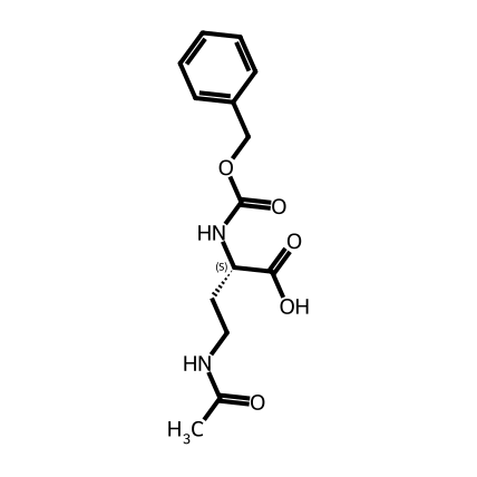 CC(=O)NCC[C@H](NC(=O)OCc1ccccc1)C(=O)O